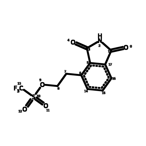 O=C1NC(=O)c2c(CCOS(=O)(=O)C(F)(F)F)cccc21